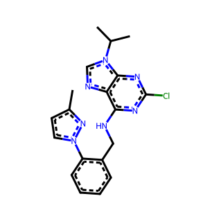 Cc1ccn(-c2ccccc2CNc2nc(Cl)nc3c2ncn3C(C)C)n1